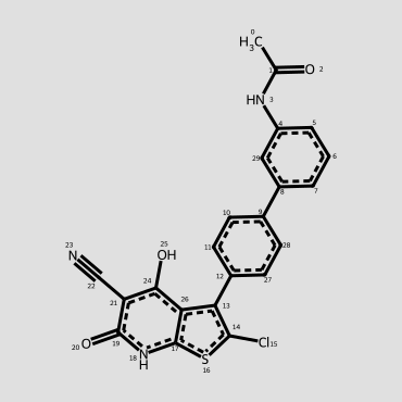 CC(=O)Nc1cccc(-c2ccc(-c3c(Cl)sc4[nH]c(=O)c(C#N)c(O)c34)cc2)c1